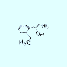 CCc1ccccc1[C@@H](O)CN